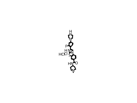 CN1CCC(NC(=O)c2ccc3c(c2)sc2nc(-c4ccc(N5CCNCC5)cc4F)cn23)CC1.Cl.Cl